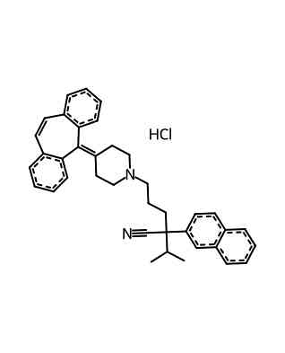 CC(C)C(C#N)(CCCN1CCC(=C2c3ccccc3C=Cc3ccccc32)CC1)c1ccc2ccccc2c1.Cl